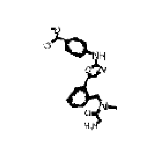 COC(=O)c1ccc(Nc2ncc(-c3ccccc3CN(C)C(=O)CN)o2)cc1